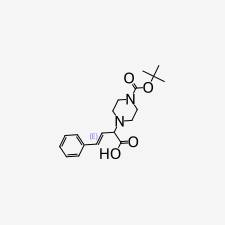 CC(C)(C)OC(=O)N1CCN(C(/C=C/c2ccccc2)C(=O)O)CC1